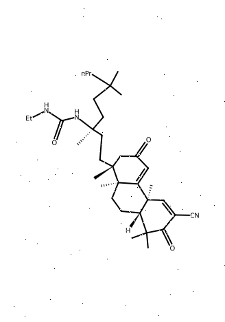 CCCC(C)(C)CC[C@@](C)(CC[C@]1(C)CC(=O)C=C2[C@@]3(C)C=C(C#N)C(=O)C(C)(C)[C@@H]3CC[C@]21C)NC(=O)NCC